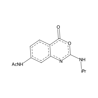 CC(=O)Nc1ccc2c(=O)oc(NC(C)C)nc2c1